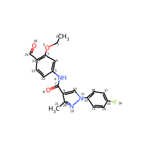 CCOc1cc(NC(=O)c2cn(-c3ccc(F)cc3)nc2C)ccc1C=O